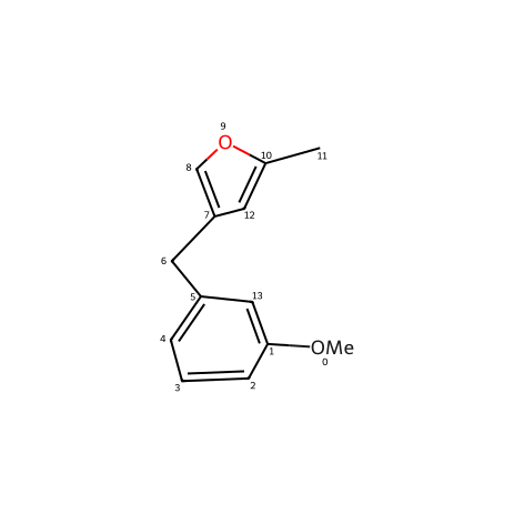 COc1cccc(Cc2coc(C)c2)c1